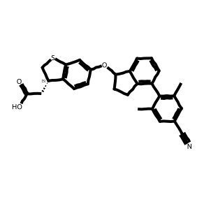 Cc1cc(C#N)cc(C)c1-c1cccc2c1CCC2Oc1ccc2c(c1)SC[C@H]2CC(=O)O